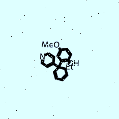 CCC1C=CC=CC1(c1ccncc1)c1cc(OC)ccc1O